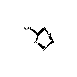 Nc1nncnn1